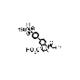 CC(C)CC(=O)N1c2ccc(-c3ccc(S(=O)(=O)NC(C)(C)C)cc3)cc2N(C(=O)O)C[C@@H]1C